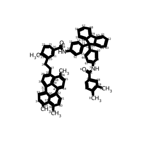 Cc1ccc(C(=O)Nc2ccc(C3(c4ccc(NC(=O)c5ccc(C)c(CCc6ccc7c8ccc(C)c9c(C)ccc(c%10ccc(C)c6c%107)c98)c5)cc4)c4ccccc4-c4ccccc43)cc2)cc1C